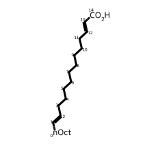 CCCCCCCCC=CCCCCCCCCCC=CC(=O)O